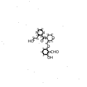 O=Cc1c(O)cccc1OCC1COCCN1C(=O)c1nccnc1CCO